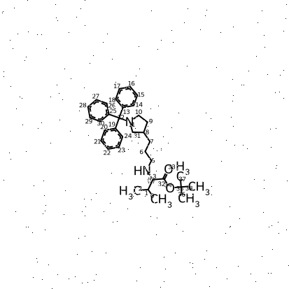 CC(C)[C@H](NCCCC1CCN(C(c2ccccc2)(c2ccccc2)c2ccccc2)C1)C(=O)OC(C)(C)C